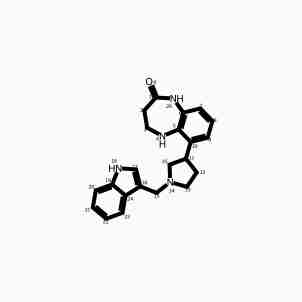 O=C1CCNc2c(cccc2C2CCN(Cc3c[nH]c4ccccc34)C2)N1